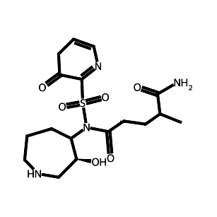 CC(C[CH]C(=O)N(C1CCCNC[C@@H]1O)S(=O)(=O)C1=NC=CCC1=O)C(N)=O